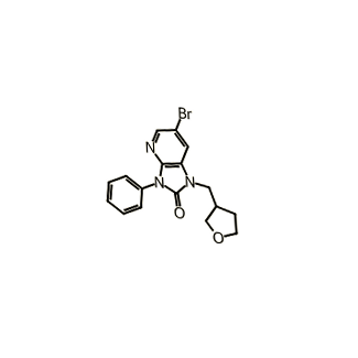 O=c1n(CC2CCOC2)c2cc(Br)cnc2n1-c1ccccc1